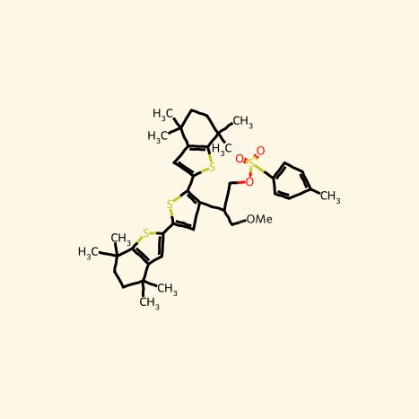 COCC(COS(=O)(=O)c1ccc(C)cc1)c1cc(-c2cc3c(s2)C(C)(C)CCC3(C)C)sc1-c1cc2c(s1)C(C)(C)CCC2(C)C